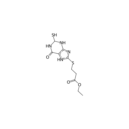 CCOC(=O)CCSc1nc2c([nH]1)C(=O)NC(S)N2